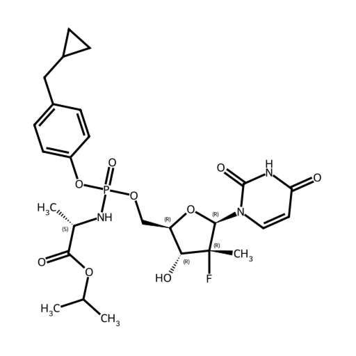 CC(C)OC(=O)[C@H](C)NP(=O)(OC[C@H]1O[C@@H](n2ccc(=O)[nH]c2=O)[C@](C)(F)[C@@H]1O)Oc1ccc(CC2CC2)cc1